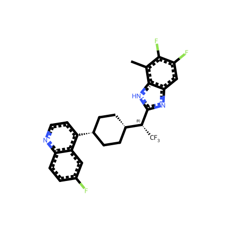 Cc1c(F)c(F)cc2nc([C@@H]([C@H]3CC[C@@H](c4ccnc5ccc(F)cc54)CC3)C(F)(F)F)[nH]c12